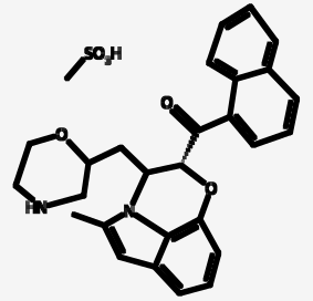 CS(=O)(=O)O.Cc1cc2cccc3c2n1C(CC1CNCCO1)[C@H](C(=O)c1cccc2ccccc12)O3